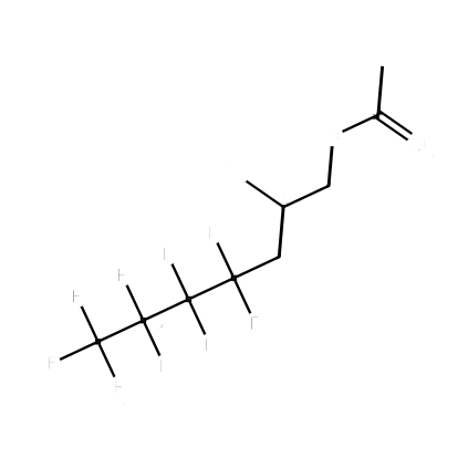 CC(=O)OCC(I)CC(F)(F)C(F)(F)C(F)(F)C(F)(F)F